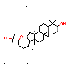 C[C@@H]1CC[C@H](C(C)(C)O)OC2C[C@@]3(C)C4CCC5C(C)(C)C(O)CC[C@@]56C[C@@]46CC[C@]3(C)C21